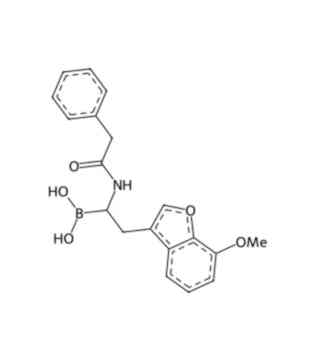 COc1cccc2c(CC(NC(=O)Cc3ccccc3)B(O)O)coc12